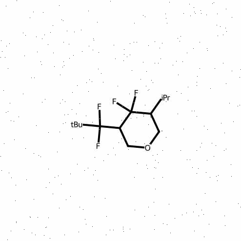 CC(C)C1COCC(C(F)(F)C(C)(C)C)C1(F)F